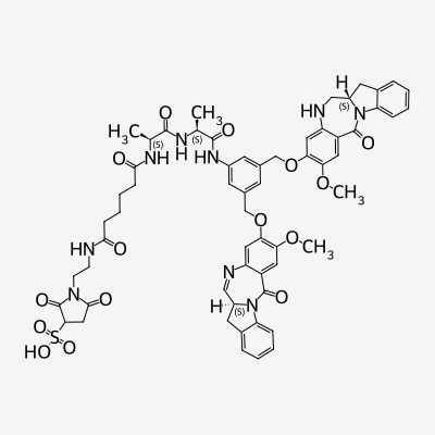 COc1cc2c(cc1OCc1cc(COc3cc4c(cc3OC)C(=O)N3c5ccccc5C[C@H]3CN4)cc(NC(=O)[C@H](C)NC(=O)[C@H](C)NC(=O)CCCCC(=O)NCCN3C(=O)CC(S(=O)(=O)O)C3=O)c1)N=C[C@@H]1Cc3ccccc3N1C2=O